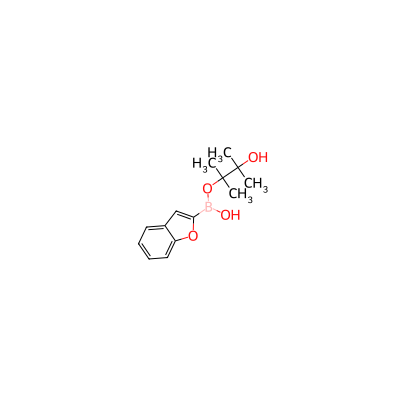 CC(C)(O)C(C)(C)OB(O)c1cc2ccccc2o1